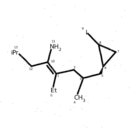 CC/C(CC(C)C[C@@H]1CC1I)=C(/N)CC(C)C